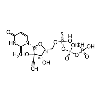 C#CC1(O)[C@@H](O)[C@@H](COP(O)(=S)OP(=O)(O)OP(=O)(O)O)O[C@H]1N1C=CC(=O)NC1=C